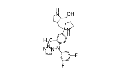 Cc1cc(C2(CC3CCNC3CO)CCCN2)ccc1N(c1cc(F)cc(F)c1)n1ccnn1